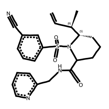 C=C[C@@H](C)[C@@H]1CCCC(C(=O)NCc2ccccn2)N1S(=O)(=O)c1cccc(C#N)c1